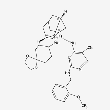 N#Cc1cnc(NCc2ccccc2OC(F)(F)F)nc1NC[C@]12CC3C[C@H](C1)[C@@H](NC1CCC4(CC1)OCCO4)[C@@H](C3)C2